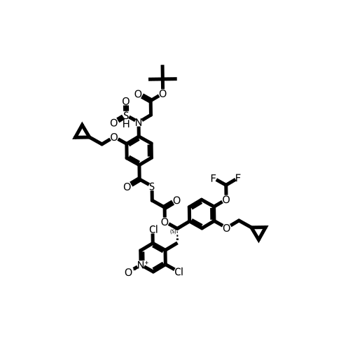 CC(C)(C)OC(=O)CN(c1ccc(C(=O)SCC(=O)O[C@@H](Cc2c(Cl)c[n+]([O-])cc2Cl)c2ccc(OC(F)F)c(OCC3CC3)c2)cc1OCC1CC1)[SH](=O)=O